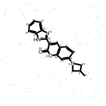 CC1CN(c2ccc3cc(-c4nc5ccccc5[nH]4)c(=O)oc3c2)C1